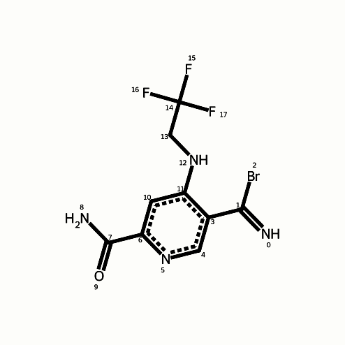 N=C(Br)c1cnc(C(N)=O)cc1NCC(F)(F)F